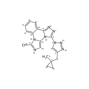 CC1(Cc2cn(-c3nnc4c5ccccc5n5c(Cl)ncc5n34)nn2)CC1